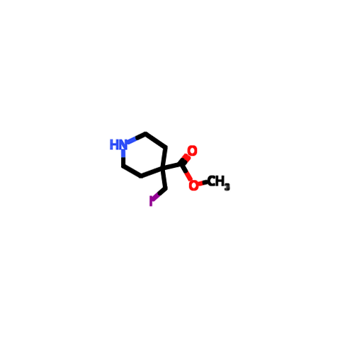 COC(=O)C1(CI)CCNCC1